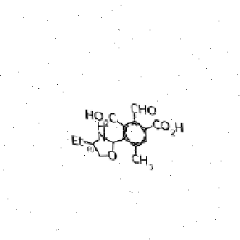 CC[C@@H]1COC(c2c(C)cc(C(=O)O)c(C=O)c2C(=O)O)N1